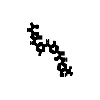 CC(=O)Nc1cc(Nc2cc(C)nc(Nc3ccc(NC(=O)Nc4ccc(Cl)c(C(F)(F)F)c4)cc3C)n2)[nH]n1